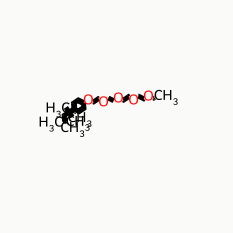 CCOCCOCCOCCOCCOc1ccc(C(C)(C)CC(C)(C)C)cc1